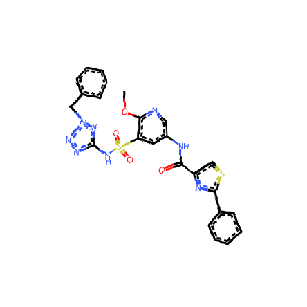 COc1ncc(NC(=O)c2csc(-c3ccccc3)n2)cc1S(=O)(=O)Nc1nnn(Cc2ccccc2)n1